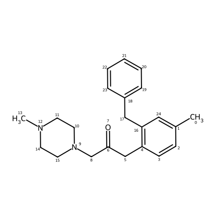 Cc1ccc(CC(=O)CN2CCN(C)CC2)c(Cc2ccccc2)c1